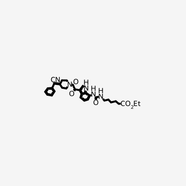 CCOC(=O)CCCCCNC(=O)Nc1cccc2c(C(=O)C(=O)N3CCC(=C(C#N)c4ccccc4)CC3)c[nH]c12